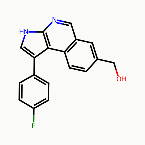 OCc1ccc2c(cnc3[nH]cc(-c4ccc(F)cc4)c32)c1